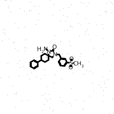 CS(=O)(=O)c1cccc(CN2CC3(CCC(c4ccccc4)CC3)N(N)C2=O)c1